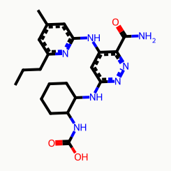 CCCc1cc(C)cc(Nc2cc(NC3CCCCC3NC(=O)O)nnc2C(N)=O)n1